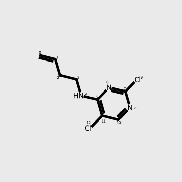 C=CCCNc1nc(Cl)ncc1Cl